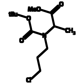 COC(=O)C(C)N(CCCCl)C(=O)OC(C)(C)C